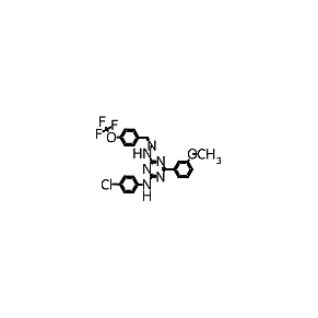 COc1cccc(-c2nc(N/N=C\c3ccc(OC(F)(F)F)cc3)nc(Nc3ccc(Cl)cc3)n2)c1